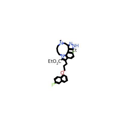 CCOC(=O)c1c(CCCOc2cccc3cc(F)ccc23)c2ccc(F)c3c2n1CCCCN(C)Cc1n[nH]c(CC)c1-3